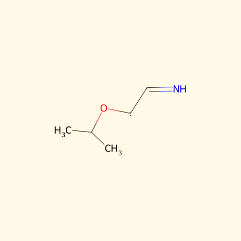 CC(C)O[CH]C=N